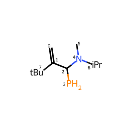 C=C(C(P)N(C)C(C)C)C(C)(C)C